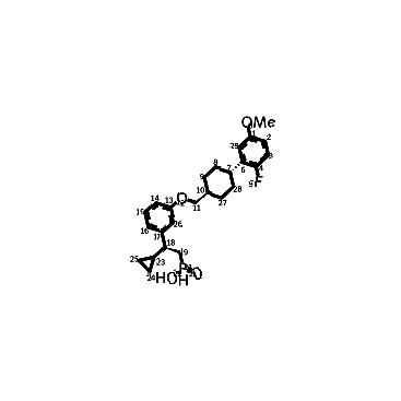 COc1ccc(F)c([C@H]2CC[C@H](COc3cccc([C@@H](C[PH](=O)O)C4CC4)c3)CC2)c1